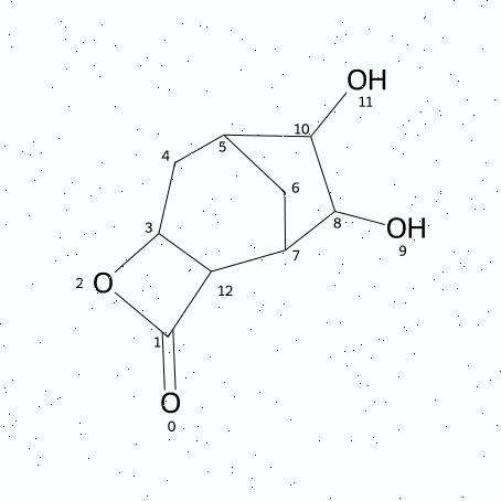 O=C1OC2CC3CC(C(O)C3O)C12